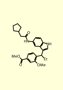 CCC(c1ccc(C(=O)OC)cc1OC)c1c[nH]c2ccc(NC(=O)CC3CCCC3)cc12